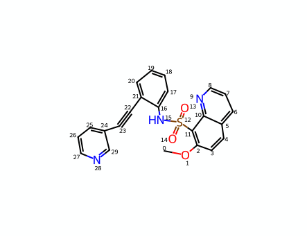 COc1ccc2cccnc2c1S(=O)(=O)Nc1ccccc1C#Cc1cccnc1